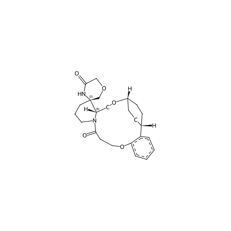 O=C1COC[C@@]2(CCCN3C(=O)CCOc4ccccc4[C@H]4CC[C@H](CC4)OC[C@H]32)N1